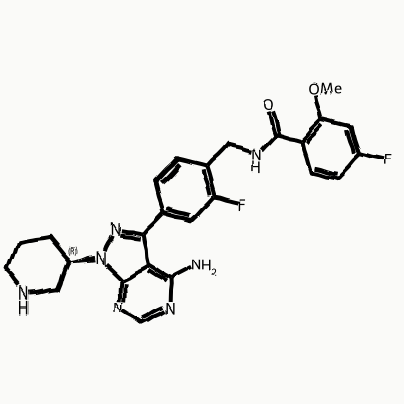 COc1cc(F)ccc1C(=O)NCc1ccc(-c2nn([C@@H]3CCCNC3)c3ncnc(N)c23)cc1F